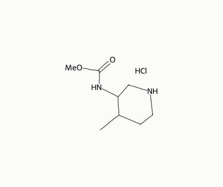 COC(=O)NC1CNCCC1C.Cl